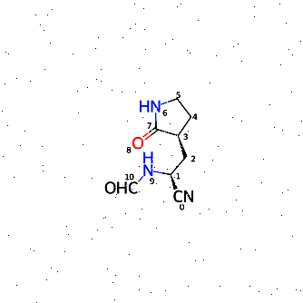 N#C[C@H](C[C@@H]1CCNC1=O)NC=O